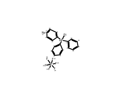 CC[PH](c1ccccc1)(c1ccccc1)c1ccccc1.F[P-](F)(F)(F)(F)F.[Na+]